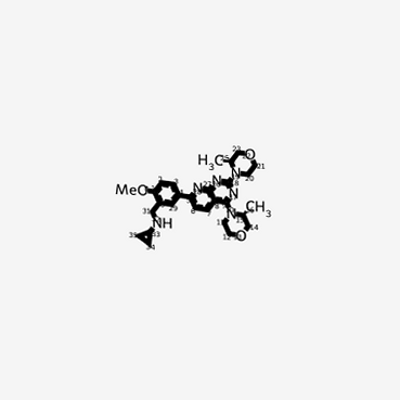 COc1ccc(-c2ccc3c(N4CCOC[C@@H]4C)nc(N4CCOC[C@@H]4C)nc3n2)cc1CNC1CC1